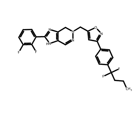 CCCC(F)(F)c1ccc(-c2cc(CN3Cc4nc(-c5cccc(F)c5F)[nH]c4C=N3)on2)cc1